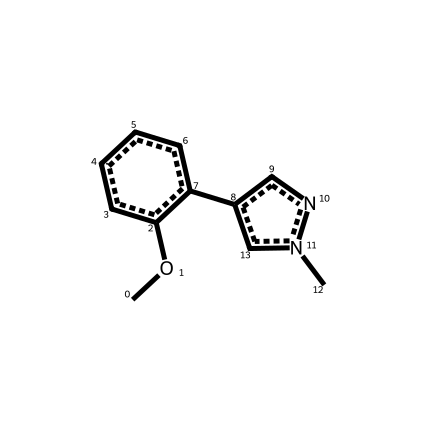 COc1c[c]ccc1-c1cnn(C)c1